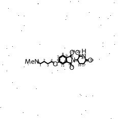 CNCCCCOc1ccc2c(c1)C(=O)N(C1CCC(=O)NC1=O)C2=O